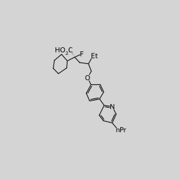 CCCc1ccc(-c2ccc(OCC(CC)C[C@@](F)(C(=O)O)C3CCCCC3)cc2)nc1